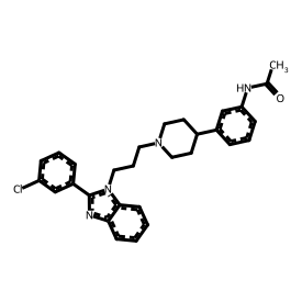 CC(=O)Nc1cccc(C2CCN(CCCn3c(-c4cccc(Cl)c4)nc4ccccc43)CC2)c1